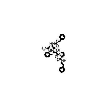 NC(=O)C[C@H](NC(=O)OCc1ccccc1)C(=O)N[C@@H](Cc1ccccc1)C(O)C(=O)N1CCC[C@H]1C(=O)NCCc1ccccc1